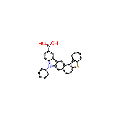 OB(O)c1ccc2c(c1)c1cc3c(ccc4sc5ccccc5c43)cc1n2-c1ccccc1